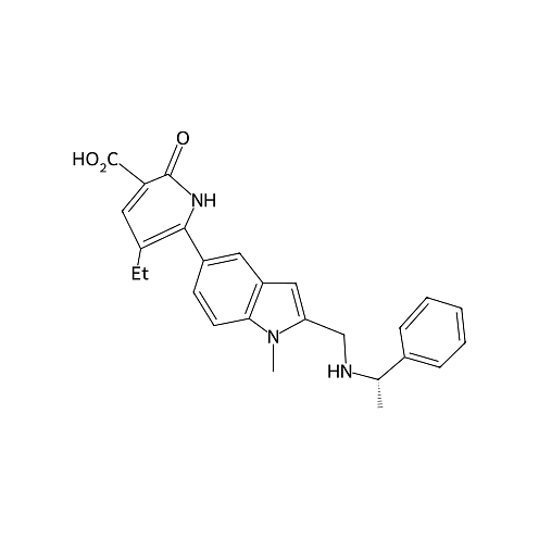 CCc1cc(C(=O)O)c(=O)[nH]c1-c1ccc2c(c1)cc(CN[C@@H](C)c1ccccc1)n2C